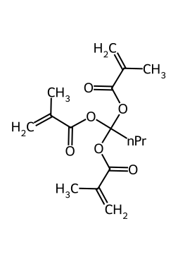 C=C(C)C(=O)OC(CCC)(OC(=O)C(=C)C)OC(=O)C(=C)C